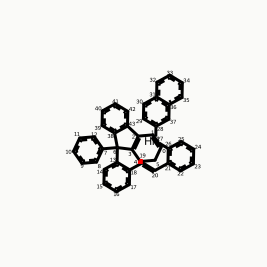 C1=CC2=C(CC1)C(c1ccccc1)(c1ccccc1C=Cc1ccccc1Nc1ccc3ccccc3c1)c1ccccc12